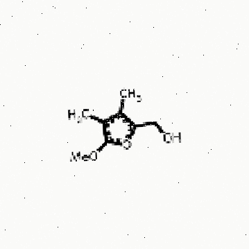 COc1oc(CO)c(C)c1C